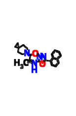 C[C@@H](Nc1nnc(-c2cccc3ccccc23)o1)C(=O)N1CCC2(CC1)CC2